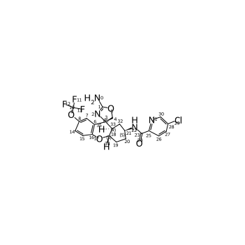 NC1=N[C@@]2(CO1)c1cc(OC(F)(F)F)ccc1O[C@H]1CC[C@H](NC(=O)c3ccc(Cl)cn3)C[C@@H]12